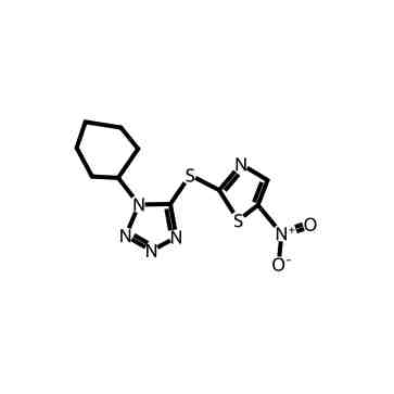 O=[N+]([O-])c1cnc(Sc2nnnn2C2CCCCC2)s1